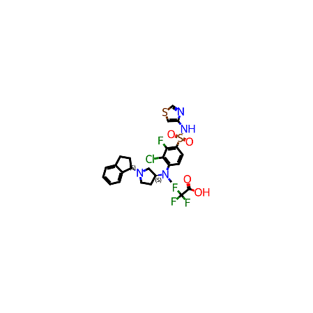 CN(c1ccc(S(=O)(=O)Nc2cscn2)c(F)c1Cl)[C@H]1CCN([C@H]2CCc3ccccc32)C1.O=C(O)C(F)(F)F